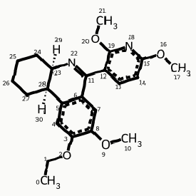 CCOc1cc2c(cc1OC)C(c1ccc(OC)nc1OC)=N[C@@H]1CCCC[C@H]21